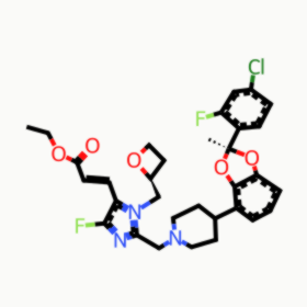 CCOC(=O)/C=C/c1c(F)nc(CN2CCC(c3cccc4c3O[C@@](C)(c3ccc(Cl)cc3F)O4)CC2)n1C[C@@H]1CCO1